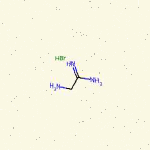 Br.N=C(N)CN